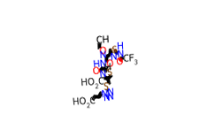 C#CCON=C(C(=O)NC1C(=O)N2C(C(=O)O)=C(CSc3nnnn3C=CCC(=O)O)CS[C@@H]12)c1csc(NC(=O)C(F)(F)F)n1